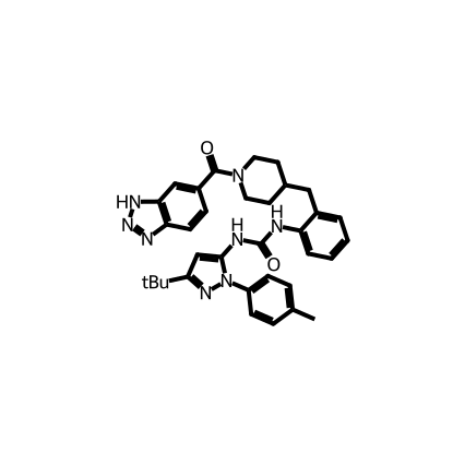 Cc1ccc(-n2nc(C(C)(C)C)cc2NC(=O)Nc2ccccc2CC2CCN(C(=O)c3ccc4nn[nH]c4c3)CC2)cc1